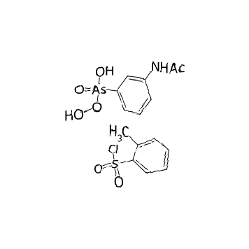 CC(=O)Nc1cccc([As](=O)(O)OO)c1.Cc1ccccc1S(=O)(=O)Cl